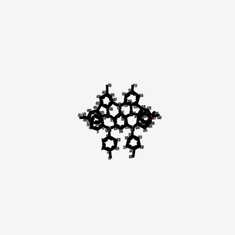 Cc1ccc(N(c2ccc(C)cc2)c2cc(N(c3ccc(C)cc3)c3ccc(C)cc3)c3c4c2B2c5ccc(C)cc5-c5cc(C)cc(c52)N4c2cc(C)cc4c2B3c2ccc(C)cc2-4)cc1